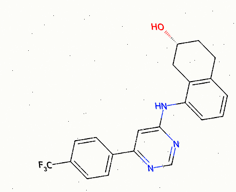 O[C@@H]1CCc2cccc(Nc3cc(-c4ccc(C(F)(F)F)cc4)ncn3)c2C1